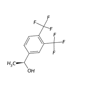 C[C@H](O)c1ccc(C(F)(F)F)c(C(F)(F)F)c1